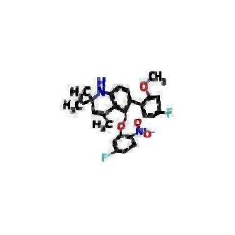 COc1cc(F)ccc1-c1ccc2c(c1COc1cc(F)ccc1[N+](=O)[O-])C(C)=CC(C)(C)N2